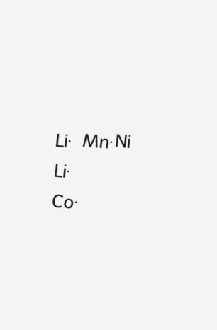 [Co].[Li].[Li].[Mn].[Ni]